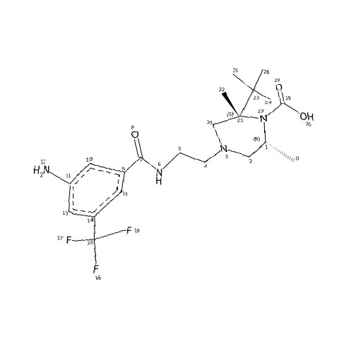 C[C@@H]1CN(CCNC(=O)c2cc(N)cc(C(F)(F)F)c2)C[C@](C)(C(C)(C)C)N1C(=O)O